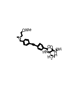 COCCN(C)Cc1ccc(C#Cc2ccc(C(=O)N[C@@H](CN)C(=O)NO)cc2)cc1